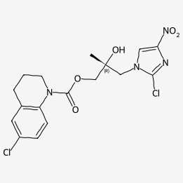 C[C@](O)(COC(=O)N1CCCc2cc(Cl)ccc21)Cn1cc([N+](=O)[O-])nc1Cl